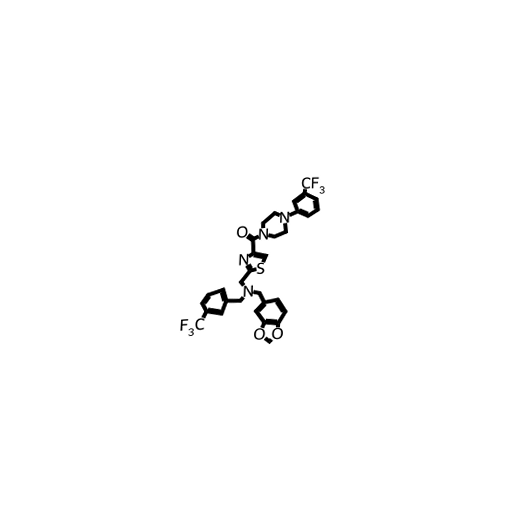 O=C(c1csc(CN(Cc2cccc(C(F)(F)F)c2)Cc2ccc3c(c2)OCO3)n1)N1CCN(c2cccc(C(F)(F)F)c2)CC1